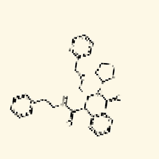 O=C(NCCc1ccccc1)[C@@H]1c2ccccc2C(=O)N(C2CCCC2)[C@H]1COCc1ccccc1